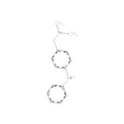 CN(C)Cc1ccc(Nc2cc[c]cc2)cc1